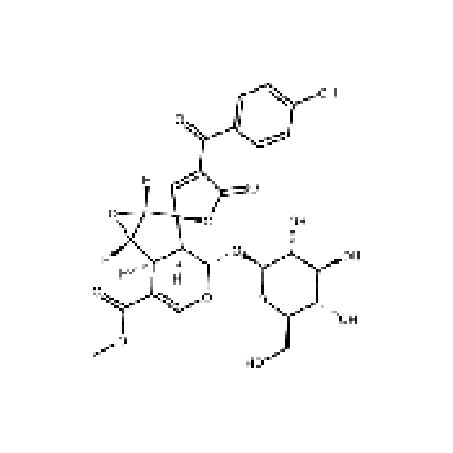 COC(=O)C1=CO[C@@H](O[C@@H]2O[C@H](CO)[C@@H](O)[C@H](O)[C@H]2O)[C@H]2[C@@H]1[C@@H]1O[C@@H]1[C@]21C=C(C(=O)c2ccc(O)cc2)C(=O)O1